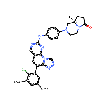 COc1cc(OC)c(Cl)c(-c2cc3cnc(Nc4ccc(N5CCN6C(=O)CC[C@@H]6C5)cc4)nc3n3cnnc23)c1